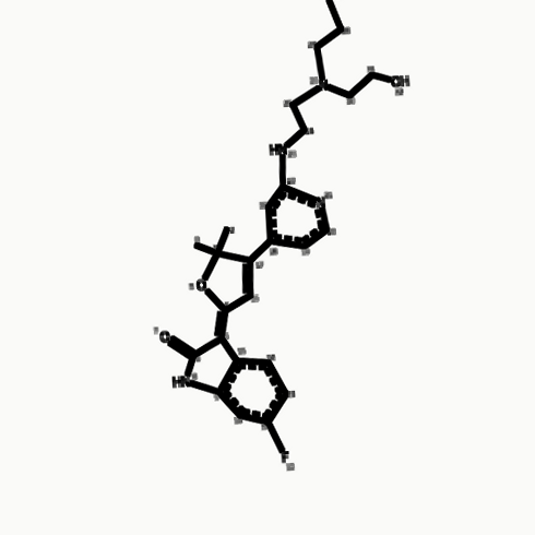 CC1(C)OC(=C2C(=O)Nc3cc(F)ccc32)C=C1c1ccnc(NCCN(CCO)CCO)c1